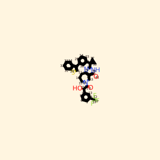 O=C([C@H](O)c1cccc(C(F)(F)F)c1)N1CCCc2nc(C3(c4cccc(-c5csc6ccccc56)c4)CC3)[nH]c(=O)c2C1